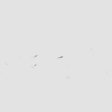 COc1cc2c(Cl)ccnc2cc1OC[C@H]1O[C@@H](n2ccc3c(Cl)ncnc32)[C@@H]2OC(C)(C)OC21